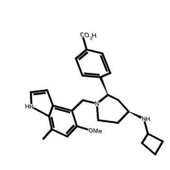 COc1cc(C)c2[nH]ccc2c1CN1CC[C@H](NC2CCC2)C[C@@H]1c1ccc(C(=O)O)cc1